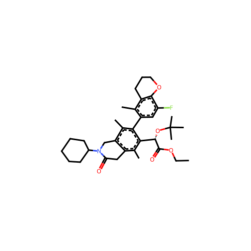 CCOC(=O)[C@@H](OC(C)(C)C)c1c(C)c2c(c(C)c1-c1cc(F)c3c(c1C)CCCO3)CN(C1CCCCC1)C(=O)C2